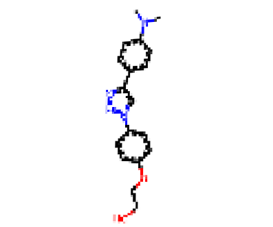 CN(C)c1ccc(-c2cn(-c3ccc(OCCO)cc3)nn2)cc1